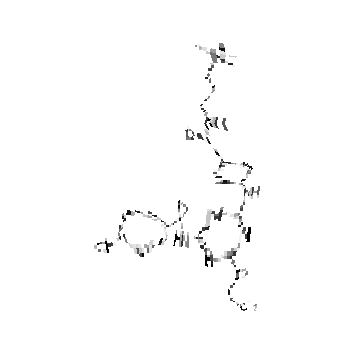 C[N+](C)(C)CCCNC(=O)c1ccc(Nc2nc(NC3(c4ccc(Cl)cc4)CC3)nc(OCC(F)(F)F)n2)cc1